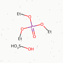 CCOP(=O)(OCC)OCC.O=S(=O)(O)O